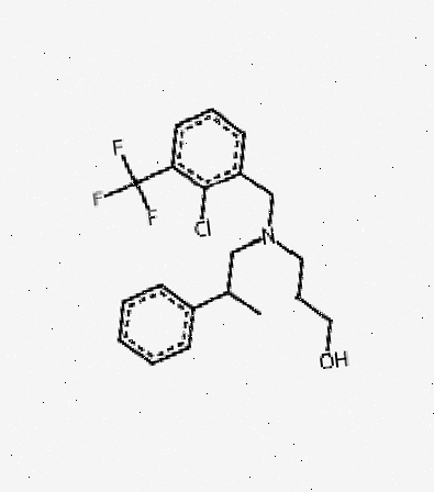 CC(CN(CCCO)Cc1cccc(C(F)(F)F)c1Cl)c1ccccc1